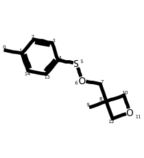 Cc1ccc(SOCC2(C)COC2)cc1